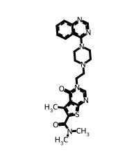 Cc1c(C(=O)N(C)C)sc2ncn(CCN3CCN(c4ncnc5ccccc45)CC3)c(=O)c12